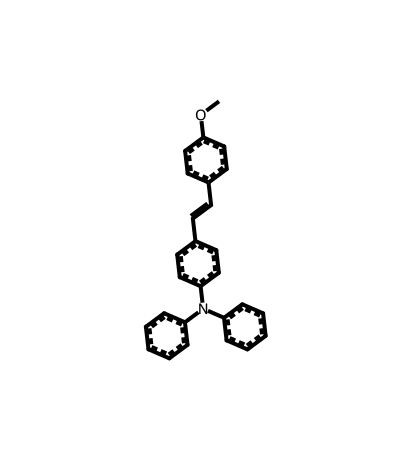 COc1ccc(/C=C/c2ccc(N(c3ccccc3)c3ccccc3)cc2)cc1